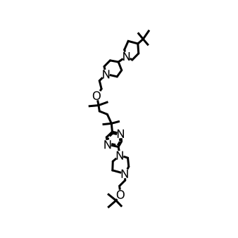 CC(C)(C)OCCN1CCN(c2cnc(C(C)(C)CCC(C)(C)OCCN3CCC(N4CCC(C(C)(C)C)CC4)CC3)cn2)CC1